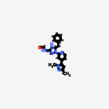 Cc1cc(-c2ccnc(N3N=C(NC=O)NC3Cc3ccccc3)c2)n(C)n1